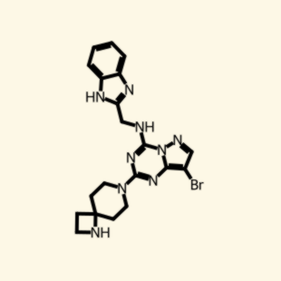 Brc1cnn2c(NCc3nc4ccccc4[nH]3)nc(N3CCC4(CCN4)CC3)nc12